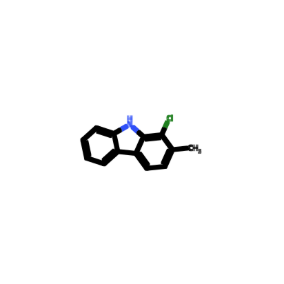 Cc1ccc2c([nH]c3ccccc32)c1Cl